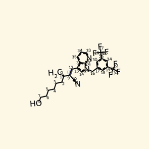 C=C(CCCCCCO)/C(C#N)=C/c1cn(Cc2cc(C(F)(F)F)cc(C(F)(F)F)c2)c2ncccc12